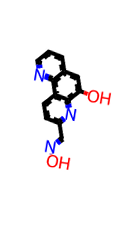 O/N=C/c1ccc2c(n1)c(O)cc1cccnc12